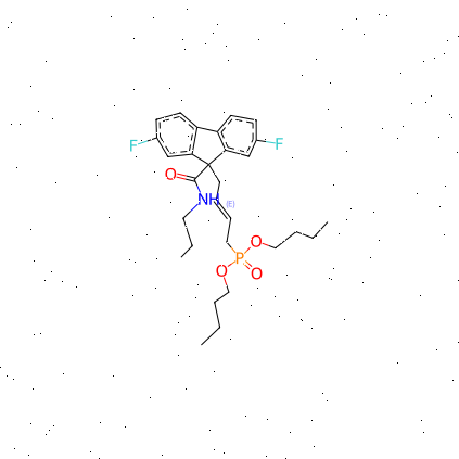 CCCCOP(=O)(C/C=C/CC1(C(=O)NCCC)c2cc(F)ccc2-c2ccc(F)cc21)OCCCC